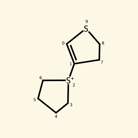 C1=C([S+]2CCCC2)CCS1